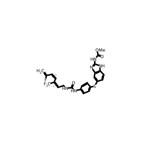 C=C(F)/C=C\C(=C/CNC(=O)Nc1ccc(Sc2ccc3[nH]c(NC(=O)OC)nc3c2)cc1)C(F)(F)F